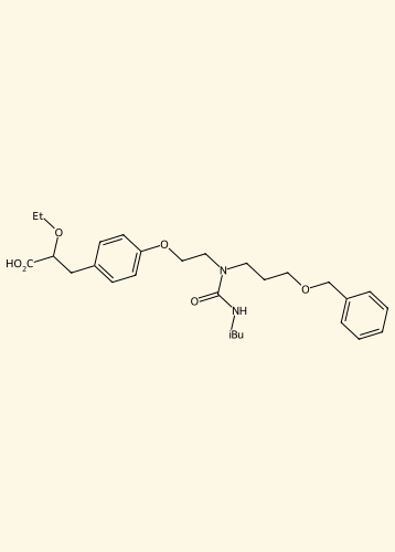 CCOC(Cc1ccc(OCCN(CCCOCc2ccccc2)C(=O)NC(C)CC)cc1)C(=O)O